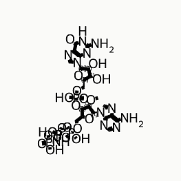 CO[C@@H]1[C@H](OP(=O)(O)OC[C@H]2O[C@@H](n3cnc4c(=O)[nH]c(N)nc43)[C@H](O)[C@@H]2O)C(COP(=O)(O)OP(=O)(O)NP(=O)(O)O)O[C@H]1n1cnc2c(N)ncnc21